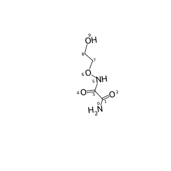 NC(=O)C(=O)NOCCO